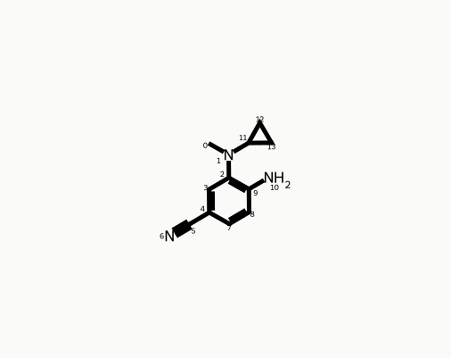 CN(c1cc(C#N)ccc1N)C1CC1